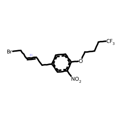 O=[N+]([O-])c1cc(C/C=C/CBr)ccc1OCCCC(F)(F)F